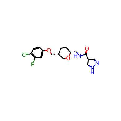 O=C(NC[C@H]1CC[C@@H](COc2ccc(Cl)c(F)c2)CO1)C1C=NNC1